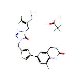 Cc1cc(-c2csc(Cn3cnn(CC(CN)=C(F)F)c3=O)c2)cc2c1NC(=O)CC2.O=C(O)C(F)(F)F